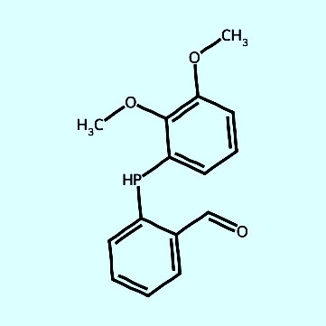 COc1cccc(Pc2ccccc2C=O)c1OC